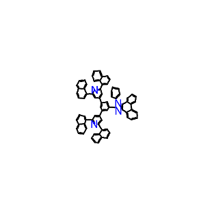 c1ccc(-n2c(-c3cc(-c4cc(-c5cccc6ccccc56)nc(-c5cccc6ccccc56)c4)cc(-c4cc(-c5cccc6ccccc56)nc(-c5cccc6ccccc56)c4)c3)nc3c4ccccc4c4ccccc4c32)cc1